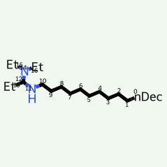 CCCCCCCCCCCCCCCCCCCCNC(CC)N(CC)CC